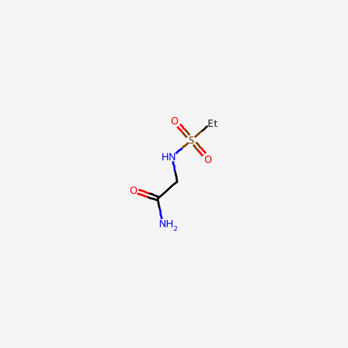 CCS(=O)(=O)NCC(N)=O